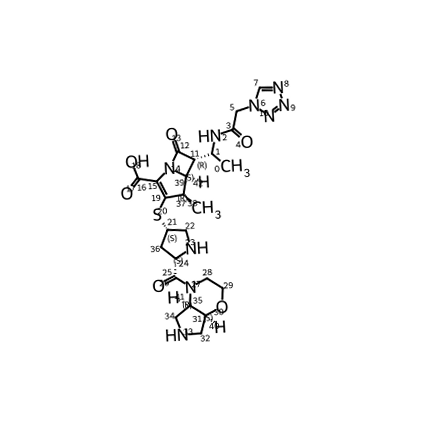 CC(NC(=O)Cn1cnnn1)[C@H]1C(=O)N2C(C(=O)O)=C(S[C@@H]3CN[C@H](C(=O)N4CCO[C@H]5CNC[C@H]54)C3)[C@H](C)[C@H]12